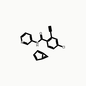 C#Cc1cc(Cl)ccc1C(=O)Nc1cccnc1.c1cc2cc-2c1